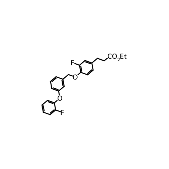 CCOC(=O)CCc1ccc(OCc2cccc(Oc3ccccc3F)c2)c(F)c1